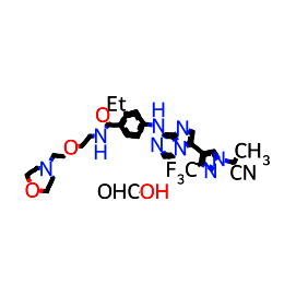 CCc1cc(Nc2nccn3c(-c4cn(C(C)C#N)nc4C(F)(F)F)cnc23)ccc1C(=O)NCCOCCN1CCOCC1.O=CO